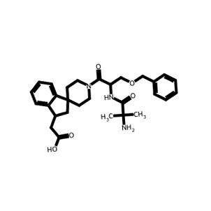 CC(C)(N)C(=O)NC(COCc1ccccc1)C(=O)N1CCC2(CC1)CC(CC(=O)O)c1ccccc12